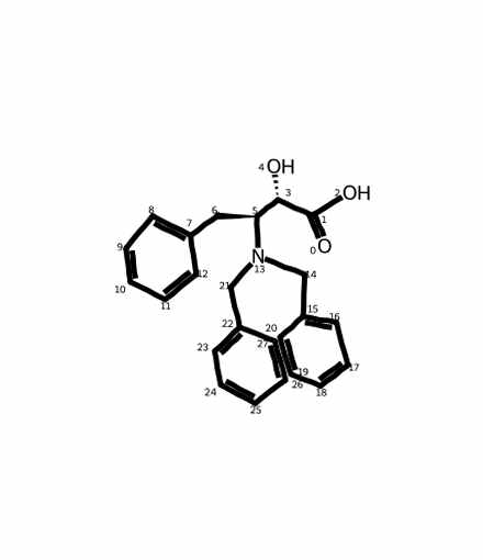 O=C(O)[C@@H](O)[C@H](Cc1ccccc1)N(Cc1ccccc1)Cc1ccccc1